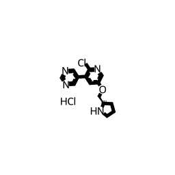 Cl.Clc1ncc(OC[C@H]2CCCN2)cc1-c1cncnc1